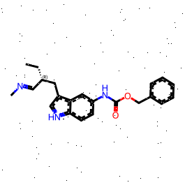 CC[C@@H](C=NC)Cc1c[nH]c2ccc(NC(=O)OCc3ccccc3)cc12